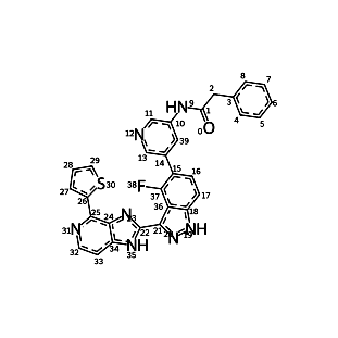 O=C(Cc1ccccc1)Nc1cncc(-c2ccc3[nH]nc(-c4nc5c(-c6cccs6)nccc5[nH]4)c3c2F)c1